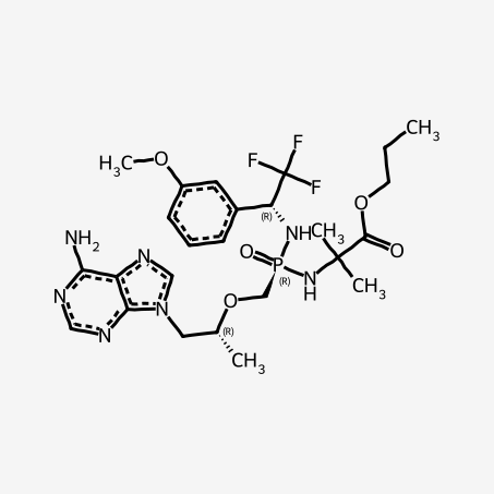 CCCOC(=O)C(C)(C)N[P@@](=O)(CO[C@H](C)Cn1cnc2c(N)ncnc21)N[C@H](c1cccc(OC)c1)C(F)(F)F